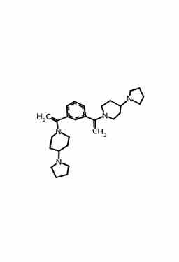 C=C(c1cccc(C(=C)N2CCC(N3CCCC3)CC2)c1)N1CCC(N2CCCC2)CC1